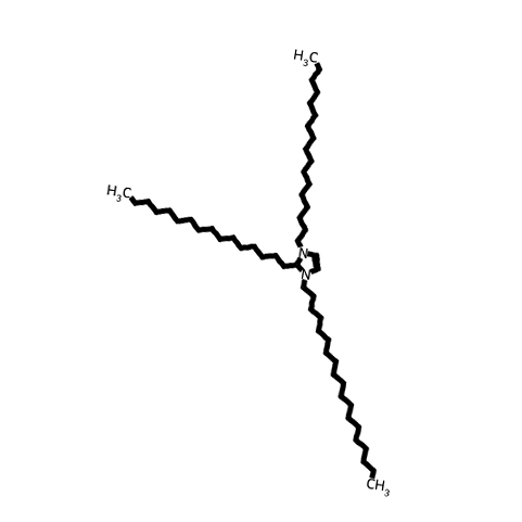 CCCCCCCCCCCCCCCCCCCN1C=CN(CCCCCCCCCCCCCCCCC)C1CCCCCCCCCCCCCCCC